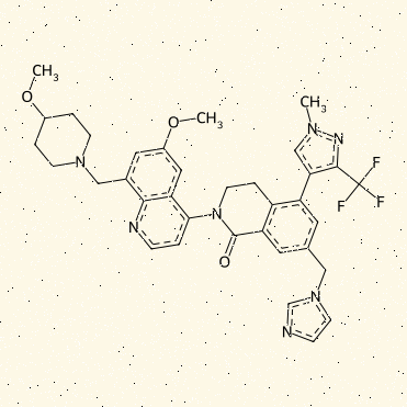 COc1cc(CN2CCC(OC)CC2)c2nccc(N3CCc4c(cc(Cn5ccnc5)cc4-c4cn(C)nc4C(F)(F)F)C3=O)c2c1